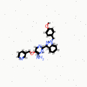 COc1ccc(Cn2nc(-c3ncc(OCc4cccnc4)c(N)n3)c3ccccc32)cc1